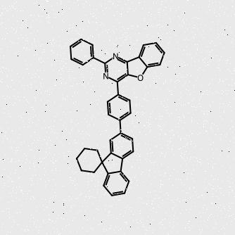 c1ccc(-c2nc(-c3ccc(-c4ccc5c(c4)C4(CCCCC4)c4ccccc4-5)cc3)c3oc4ccccc4c3n2)cc1